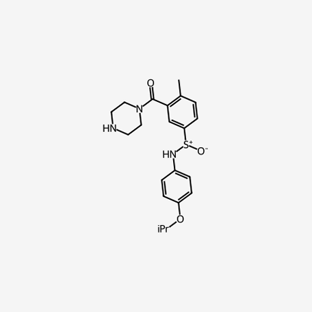 Cc1ccc([S+]([O-])Nc2ccc(OC(C)C)cc2)cc1C(=O)N1CCNCC1